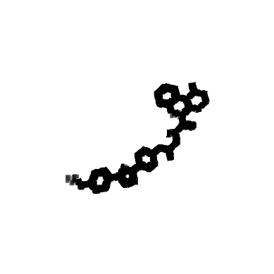 CC(CNC(=O)/N=C1\SCCC(C)N1c1ccccc1C(C)C)Cc1ccc(-c2ncn(-c3ccc(OC(F)(F)F)cc3)n2)cc1